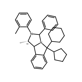 Cc1ccccc1N1C(c2ccccc2)N2C(c3ccccc3C2(C2CCCCC2)C2CCCC2)[C@@H]1C